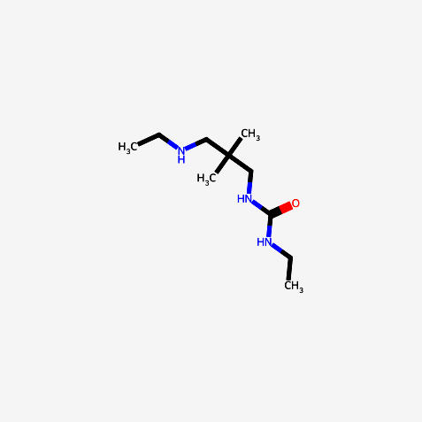 CCNCC(C)(C)CNC(=O)NCC